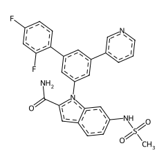 CS(=O)(=O)Nc1ccc2cc(C(N)=O)n(-c3cc(-c4cccnc4)cc(-c4ccc(F)cc4F)c3)c2c1